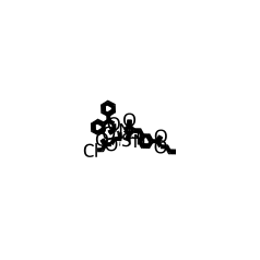 C=CCOC(=O)c1ccnc(/C=C2/C(=O)N3[C@@H]2S[C@@](C)(COC(=O)CCl)[C@@H]3C(=O)OC(c2ccccc2)c2ccccc2)c1